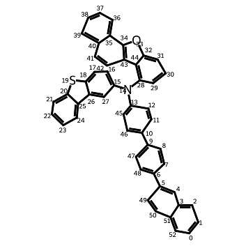 c1ccc2cc(-c3ccc(-c4ccc(N(c5ccc6sc7ccccc7c6c5)c5cccc6oc7c8ccccc8ccc7c56)cc4)cc3)ccc2c1